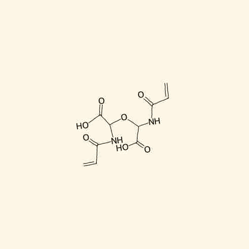 C=CC(=O)NC(OC(NC(=O)C=C)C(=O)O)C(=O)O